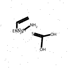 C=CC(=O)O.CCOC(N)=O.OC(O)=S